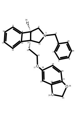 c1ccc(CN2C[C@@H]3c4ccccc4[C@]3(CCOc3ccc4c(c3)OCO4)C2)cc1